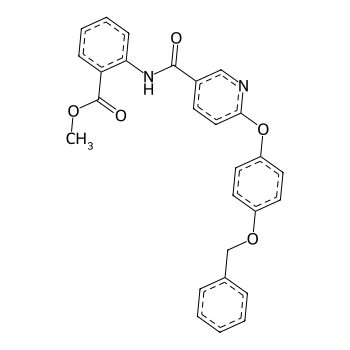 COC(=O)c1ccccc1NC(=O)c1ccc(Oc2ccc(OCc3ccccc3)cc2)nc1